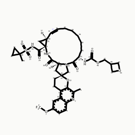 Cc1nc2ccc(OC(F)(F)F)cc2c2c1O[C@]1(CC2)C[C@H]2C(=O)N[C@]3(C(=O)NS(=O)(=O)C4(C)CC4)C[C@H]3/C=C\CCCCC[C@H](NC(=O)OCC3COC3)C(=O)N2C1